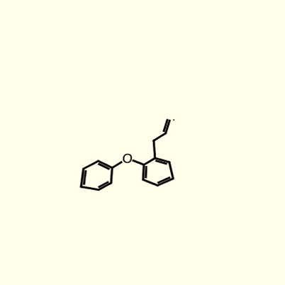 [CH]=CCc1ccccc1Oc1ccccc1